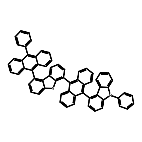 c1ccc(-c2c3ccccc3c(-c3cccc4sc5c(-c6c7ccccc7c(-c7cccc8c7c7ccccc7n8-c7ccccc7)c7ccccc67)cccc5c34)c3ccccc23)cc1